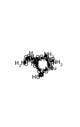 CC[C@H](C)[C@@H]1NC(=O)[C@H](Cc2ccc(O)cc2)NC(=O)CCC(=O)NC[C@@H](C(=O)N(CC(=O)NC(C)(CC(C)C)C(=O)NCC(N)=O)C2CC2)NC(=O)[C@H](CC(N)=O)NC(=O)[C@H](CCC(N)=O)NC1=O